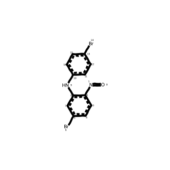 O=Nc1ccc(Br)cc1Nc1ccc(Br)cc1